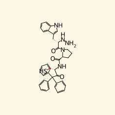 NN[C@@H](Cc1c[nH]c2ccccc12)C(=O)N1CCC[C@H]1C(=O)N[C@@H](CS)C(=O)C(c1ccccc1)(c1ccccc1)c1ccccc1